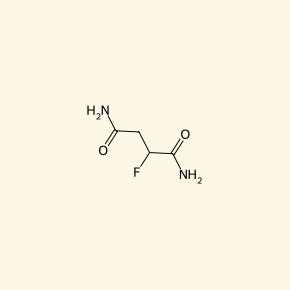 NC(=O)CC(F)C(N)=O